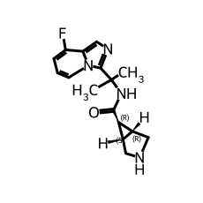 CC(C)(NC(=O)[C@H]1[C@@H]2CNC[C@@H]21)c1ncc2c(F)cccn12